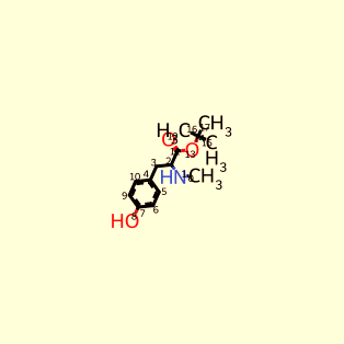 CNC(Cc1ccc(O)cc1)C(=O)OC(C)(C)C